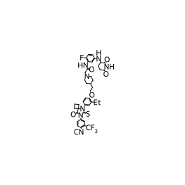 CCc1cc(N2C(=S)N(c3ccc(C#N)c(C(F)(F)F)c3)C(=O)C23CCC3)ccc1OCCC1CCN(CC(=O)Nc2cc(NC3CCC(=O)NC3=O)ccc2F)CC1